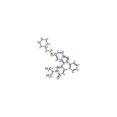 CC(C)n1nc(-c2c(-c3ccccc3)nn3ccc(OCCC4CCCCC4)cc23)ccc1=O